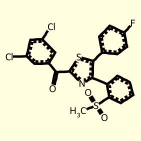 CS(=O)(=O)c1ccccc1-c1nc(C(=O)c2cc(Cl)cc(Cl)c2)sc1-c1ccc(F)cc1